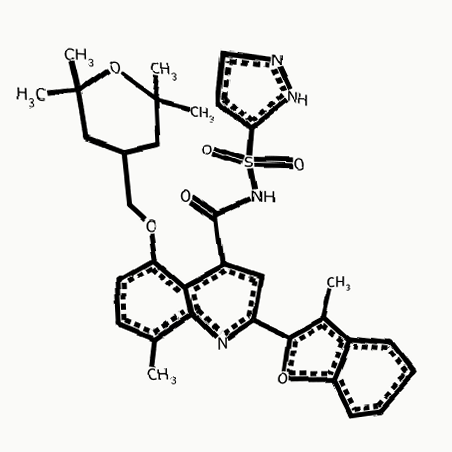 Cc1c(-c2cc(C(=O)NS(=O)(=O)c3ccn[nH]3)c3c(OCC4CC(C)(C)OC(C)(C)C4)ccc(C)c3n2)oc2ccccc12